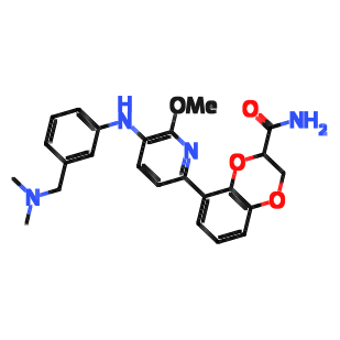 COc1nc(-c2cccc3c2OC(C(N)=O)CO3)ccc1Nc1cccc(CN(C)C)c1